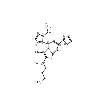 CCCC[S+]([O-])c1sc2nc(-c3nccs3)cc(-c3nccn3CC)c2c1N